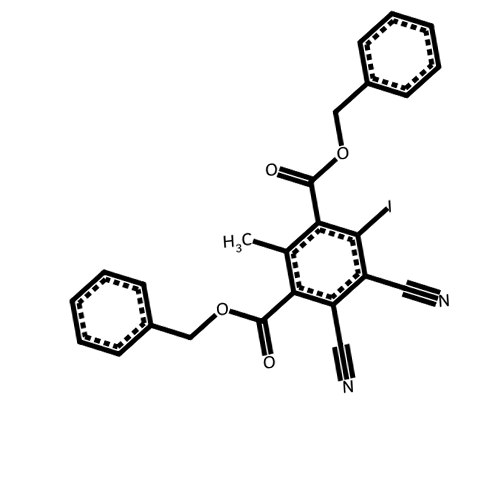 Cc1c(C(=O)OCc2ccccc2)c(I)c(C#N)c(C#N)c1C(=O)OCc1ccccc1